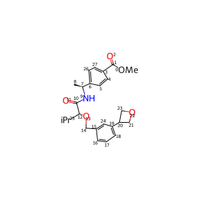 COC(=O)c1ccc([C@H](C)NC(=O)C(OCc2cccc(C3COC3)c2)C(C)C)cc1